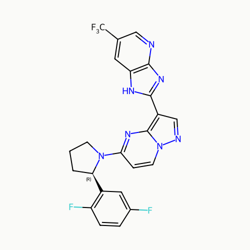 Fc1ccc(F)c([C@H]2CCCN2c2ccn3ncc(-c4nc5ncc(C(F)(F)F)cc5[nH]4)c3n2)c1